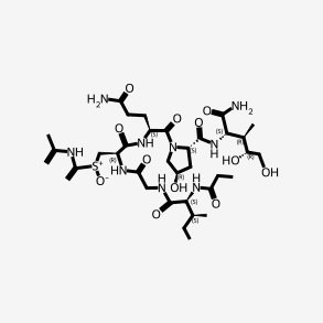 C=C(C)NC(=C)[S+]([O-])C[C@H](NC(=O)CNC(=O)[C@@H](NC(=O)CC)[C@@H](C)CC)C(=O)N[C@@H](CCC(N)=O)C(=O)N1C[C@H](O)C[C@H]1C(=O)N[C@H](C(N)=O)[C@@H](C)[C@@H](O)CO